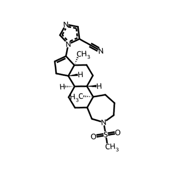 C[C@]12CCCN(S(C)(=O)=O)CC1CC[C@@H]1[C@@H]2CC[C@]2(C)C(n3cncc3C#N)=CC[C@@H]12